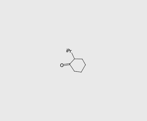 CC(C)C1CCCCC1=O